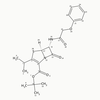 CC(C)C1=C(C(=O)OC(C)(C)C)N2C(=O)[C@@H](NC(=O)COc3ccccc3)[C@@H]2S1